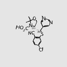 CC1(C)OC[C@H](C[C@@H](Sc2cc(Cl)ccc2C#N)c2cncnc2)N1C(=O)O